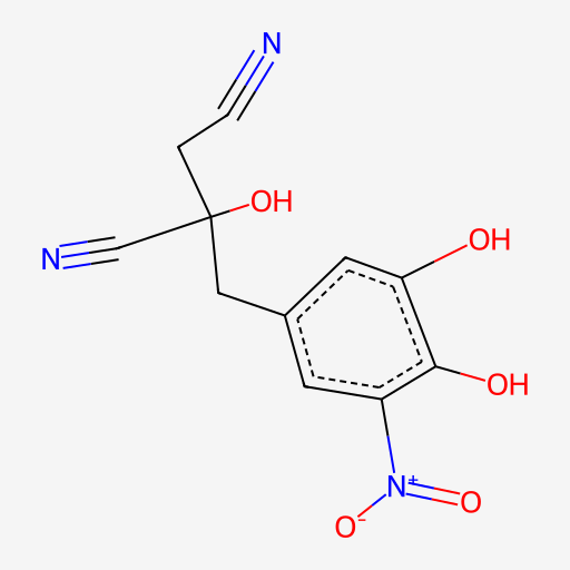 N#CCC(O)(C#N)Cc1cc(O)c(O)c([N+](=O)[O-])c1